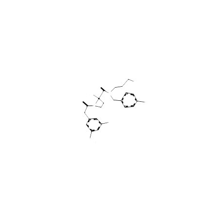 C=C(Cc1cc(C)cc(C)c1)N1CCC1(C)C(=O)N(CCCC(=O)OCC)Cc1ccc(Cl)cc1